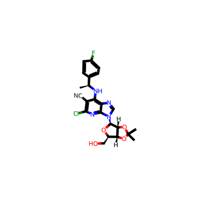 C[C@H](Nc1c(C#N)c(Cl)nc2c1ncn2[C@@H]1O[C@H](CO)[C@H]2OC(C)(C)O[C@H]21)c1ccc(F)cc1